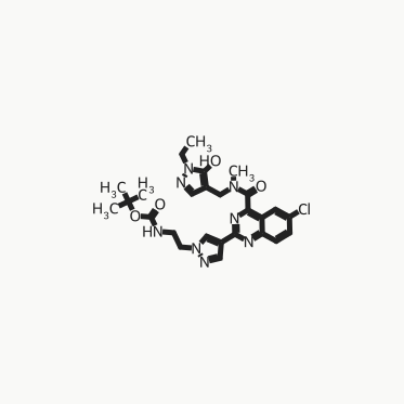 CCn1ncc(CN(C)C(=O)c2nc(-c3cnn(CCNC(=O)OC(C)(C)C)c3)nc3ccc(Cl)cc23)c1O